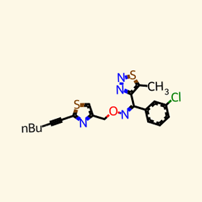 CCCCC#Cc1nc(CON=C(c2cccc(Cl)c2)c2nnsc2C)cs1